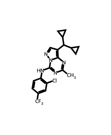 Cc1nc(Nc2ccc(C(F)(F)F)cc2Cl)n2ncc(C(C3CC3)C3CC3)c2n1